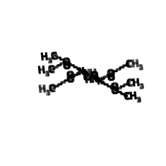 CCCCCCCCCCCOC(=O)CCCCCN(CCCCCCCC(=O)OC(CCCCCC)CCCCCCCC)CCNC(=O)/C=C/C(=O)NCCN(CCCCCCCC(=O)OC(CCCCCC)CCCCCCCC)CCCCCC(=O)OCCCCCCCCCCC